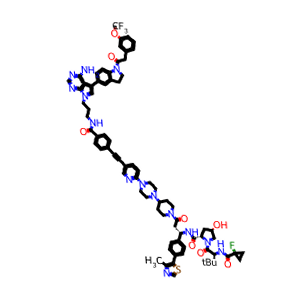 Cc1ncsc1-c1ccc([C@H](CC(=O)N2CCC(N3CCN(c4ccc(C#Cc5ccc(C(=O)NCCCn6cc(-c7ccc8c(c7)CCN8C(=O)Cc7cccc(OC(F)(F)F)c7)c7c(N)ncnc76)cc5)cn4)CC3)CC2)NC(=O)[C@@H]2C[C@@H](O)CN2C(=O)[C@@H](NC(=O)C2(F)CC2)C(C)(C)C)cc1